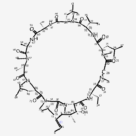 C/C=C/C[C@@H](C)[C@@H](O)[C@H]1C(=O)N[C@@H](CC)C(=O)N(C)CC(=O)N(C)[C@@H](CC(C)C)C(=O)N[C@@H](C(C)C)C(=O)N(C)[C@@H](CC(C)C)C(=O)N[C@@H](C)C(=O)N[C@H](C)C(=O)N(C)[C@@H](C)C(=O)N(C)[C@@H](CC(C)C)C(=O)N(C)[C@@H](C(C)C)C(=O)N1C